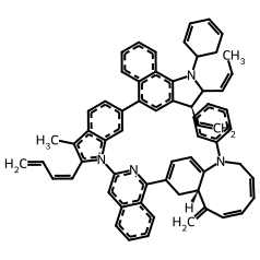 C=C/C=C\c1c(C)c2ccc(-c3cc4c(c5ccccc35)N(C3C=CC=CC3)C(/C=C\C)[C@H]4C=C)cc2n1-c1cc2ccccc2c(C2=CC=C3[C@@H](C2)C(=C)/C=C\C=C/CN3c2ccccc2)n1